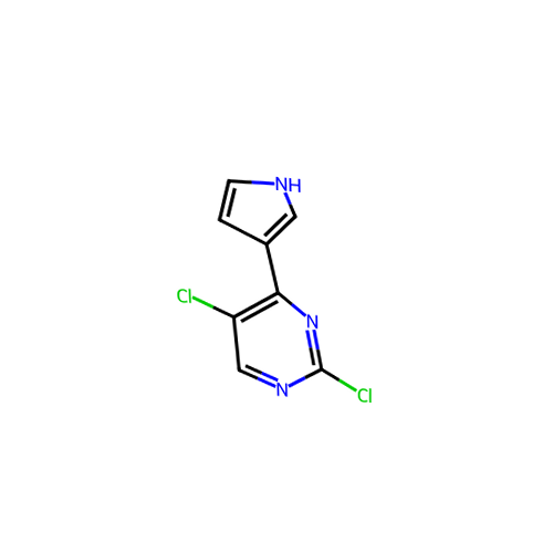 Clc1ncc(Cl)c(-c2cc[nH]c2)n1